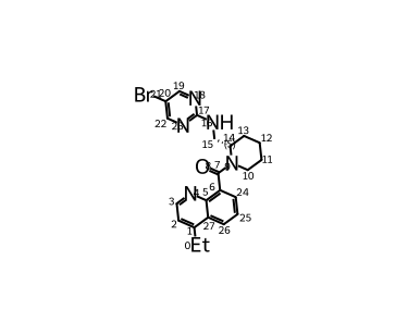 CCc1ccnc2c(C(=O)N3CCCC[C@H]3CNc3ncc(Br)cn3)cccc12